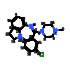 CN1CCN(C2=Nc3cccc4c3N(CC4)c3ccc(Cl)cc32)CC1